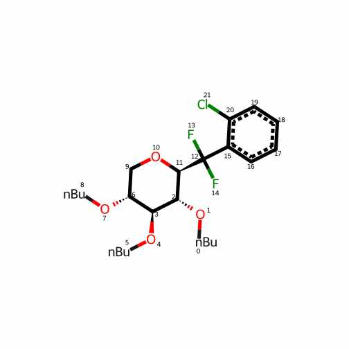 CCCCO[C@@H]1[C@@H](OCCCC)[C@H](OCCCC)CO[C@H]1C(F)(F)c1ccccc1Cl